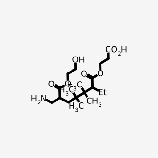 CCC(C(=O)OCCC(=O)O)C(C)(C)C(C)(C)CC(CN)C(=O)OCCO